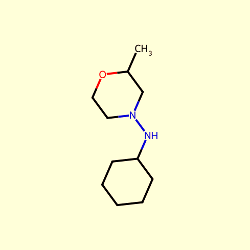 CC1CN(NC2CCCCC2)CCO1